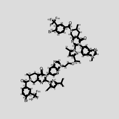 Cc1cc(C(C)C)nn1-c1nc2c(c(=O)n1-c1cnc3c(c1)ncn3CCOC(C)c1cc(C)n(-c3nc4c(c(=O)n3-c3ccc5c(c3)ncn5C)CC(C)N(C(=O)c3ccc(Br)c(C(F)(F)F)c3)C4)n1)CC(C)N(C(=O)c1ccc(Br)c(C(F)(F)F)c1)C2